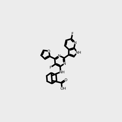 O=C(O)C1C2CCC(CC2)C1Nc1nc(-c2c[nH]c3nc(F)ccc23)nc(-c2ccco2)c1F